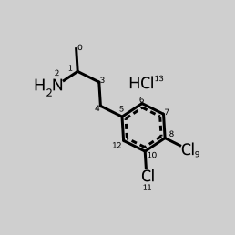 CC(N)CCc1ccc(Cl)c(Cl)c1.Cl